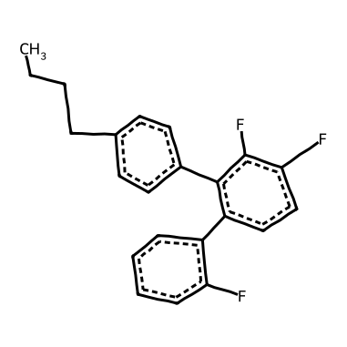 CCCCc1ccc(-c2c(-c3ccccc3F)ccc(F)c2F)cc1